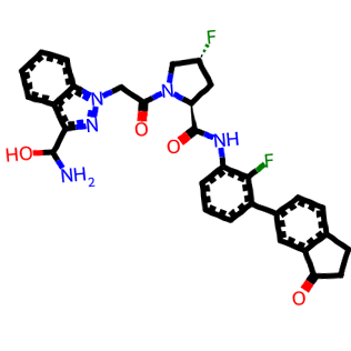 NC(O)c1nn(CC(=O)N2C[C@H](F)C[C@H]2C(=O)Nc2cccc(-c3ccc4c(c3)C(=O)CC4)c2F)c2ccccc12